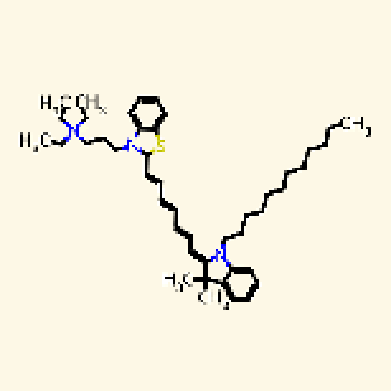 CCCCCCCCCCCCN1C(=CC=CC=CC=CC2Sc3ccccc3N2CCC[N+](CC)(CC)CC)C(C)(C)c2ccccc21